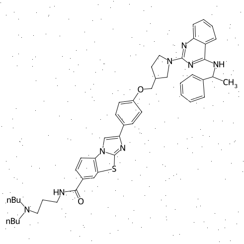 CCCCN(CCCC)CCCNC(=O)c1ccc2c(c1)sc1nc(-c3ccc(OCC4CCN(c5nc(NC(C)c6ccccc6)c6ccccc6n5)C4)cc3)cn12